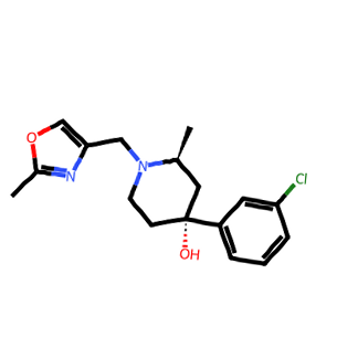 Cc1nc(CN2CC[C@](O)(c3cccc(Cl)c3)C[C@@H]2C)co1